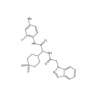 CC(C)(C)c1ccc(NC(=O)C(NC(=O)Cn2ncc3ccccc32)C2CCS(=O)(=O)CC2)c(F)c1